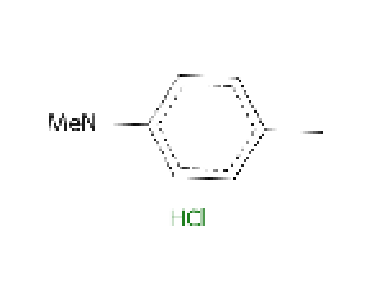 CNc1ccc(C)cc1.Cl